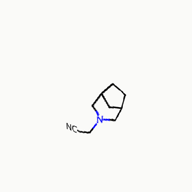 N#CCN1CC2CCC(C2)C1